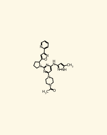 CC(=O)N1CCN(c2cc(Nc3cc(C)[nH]n3)nc(N3CCCC3c3cc(-c4ccccn4)no3)n2)CC1